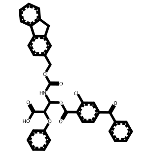 O=C(NC(OC(=O)c1ccc(C(=O)c2ccccc2)cc1Cl)C(Oc1ccccc1)C(=O)O)OCc1ccc2c(c1)Cc1ccccc1-2